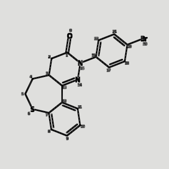 O=C1CC2CCSc3ccccc3C2=NN1c1ccc(Br)cc1